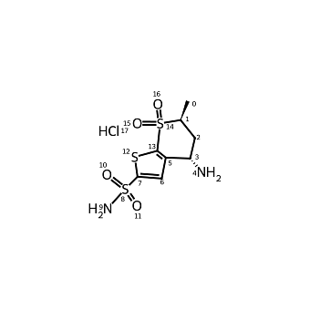 C[C@H]1C[C@H](N)c2cc(S(N)(=O)=O)sc2S1(=O)=O.Cl